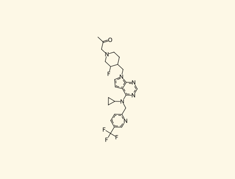 CC(=O)CN1CCC(Cn2ccc3c(N(Cc4ccc(C(F)(F)F)cn4)C4CC4)ncnc32)C(F)C1